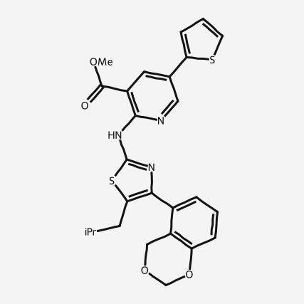 COC(=O)c1cc(-c2cccs2)cnc1Nc1nc(-c2cccc3c2COCO3)c(CC(C)C)s1